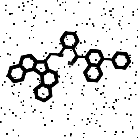 N=C(c1ccccc1NCn1c2ccc3ccccc3c2c2c3ccccc3ccc21)c1ccc(-c2ccccc2)c2ccccc12